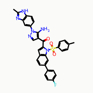 Cc1ccc(S(=O)(=O)n2c(C(=O)c3cnn(-c4ccc5[nH]c(C)nc5c4)c3N)cc3ccc(-c4ccc(F)cc4)cc32)cc1